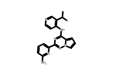 Bc1cccc(-c2nc(Nc3ccncc3C(C)F)c3cccn3n2)n1